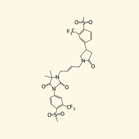 CC1(C)C(=O)N(c2ccc(S(C)(=O)=O)c(C(F)(F)F)c2)C(=O)N1CC=CCN1CC(c2ccc(S(C)(=O)=O)c(C(F)(F)F)c2)CC1=O